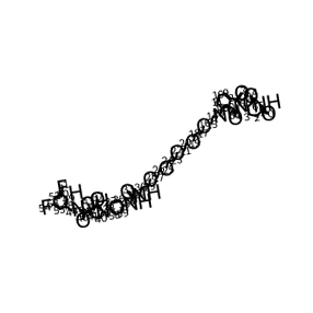 O=C1CCC(N2C(=O)c3cccc(NCCOCCOCCOCCOCCOCCNC(=O)Nc4ccc(N5CCC(O)(C(=O)NCc6cc(F)cc(F)c6)C5=O)cc4)c3C2=O)C(=O)N1